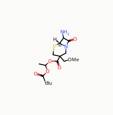 COCC1(C(=O)OC(C)OC(=O)C(C)(C)C)CS[C@@H]2C(N)C(=O)N2C1